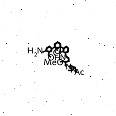 COc1nc(-c2cccc(-c3cccc(-c4ccc(CN)c(CO)c4)c3Cl)c2Cl)ccc1CN1CCN(C(C)=O)CC1